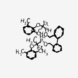 CCC(C)(Oc1c(C)cccc1C)POCc1ccccc1-c1ccccc1COPC(C)(CC)Oc1c(C)cccc1C